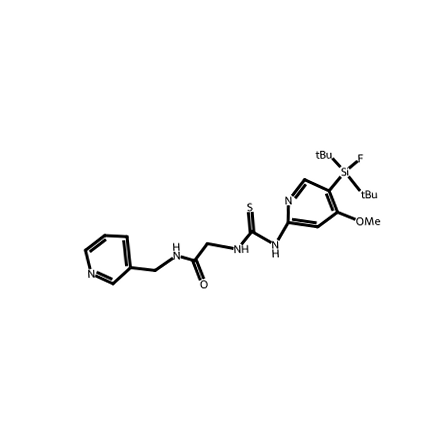 COc1cc(NC(=S)NCC(=O)NCc2cccnc2)ncc1[Si](F)(C(C)(C)C)C(C)(C)C